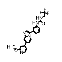 COc1cc(-c2ccn3c(-c4cccc(NC(=O)NCC(F)(F)F)c4)cnc3c2)ccn1